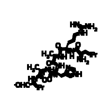 CC(C)C[C@H](N)C(=O)N[C@@H](CCCNC(=N)N)C(=O)N[C@@H](C)C(=O)N[C@@H](Cc1c[nH]cn1)C(=O)N[C@@H](C)C(=O)N[C@H]([C]=O)C(C)C